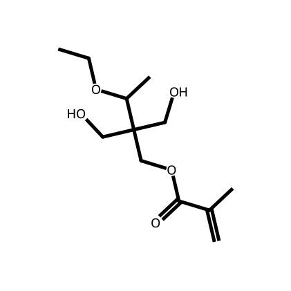 C=C(C)C(=O)OCC(CO)(CO)C(C)OCC